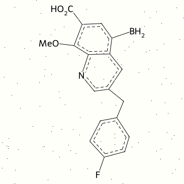 Bc1cc(C(=O)O)c(OC)c2ncc(Cc3ccc(F)cc3)cc12